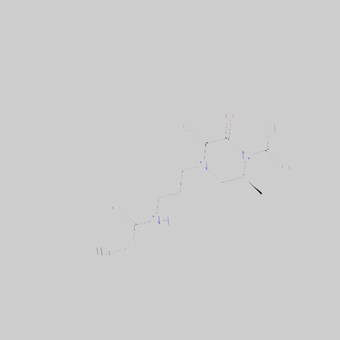 C[C@H]1CN(CCCNC(=O)OC(C)(C)C)C(=O)C(=O)N1C(=O)Cl